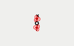 COC(=O)OC1CCC(OC(=O)OC(C)(C)C)CC1